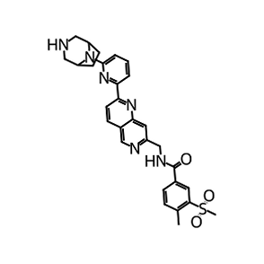 Cc1ccc(C(=O)NCc2cc3nc(-c4cccc(N5C6CCC5CNC6)n4)ccc3cn2)cc1S(C)(=O)=O